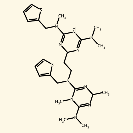 CC1N=C(N(C)C)N(C)C(N(CCC2N=C(N(C)C)NC(N(C)Cc3cccs3)=N2)Cc2cccs2)=N1